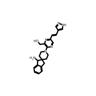 NC1c2ccccc2CC12CCN(c1ncc(C=Cc3cn[nH]c3)nc1CO)CC2